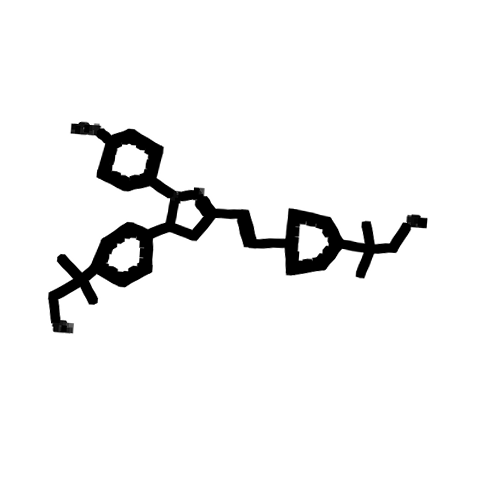 CCCCCCCCc1ccc(N2N=C(C=Cc3ccc(C(C)(C)CC(C)(C)C)cc3)CC2c2ccc(C(C)(C)CC(C)(C)C)cc2)cc1